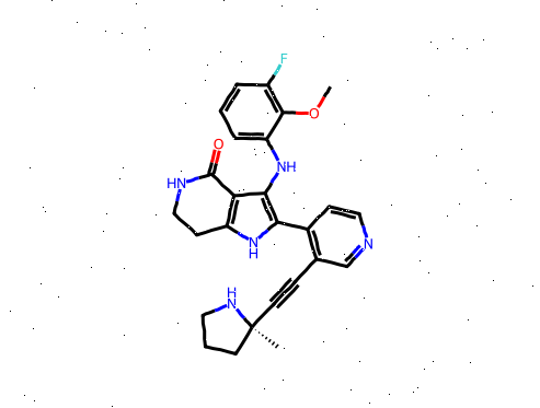 COc1c(F)cccc1Nc1c(-c2ccncc2C#C[C@@]2(C)CCCN2)[nH]c2c1C(=O)NCC2